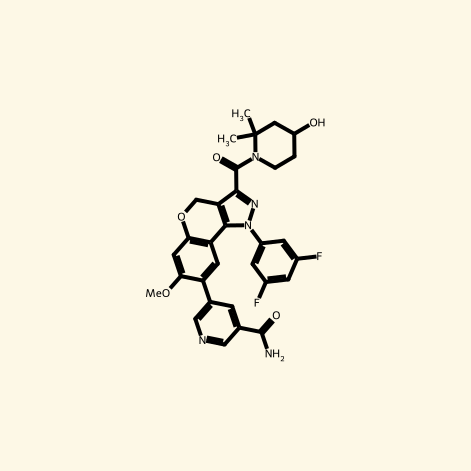 COc1cc2c(cc1-c1cncc(C(N)=O)c1)-c1c(c(C(=O)N3CCC(O)CC3(C)C)nn1-c1cc(F)cc(F)c1)CO2